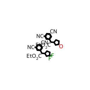 CCOC(=O)C(c1cc(C#N)cc(C#N)c1)C1CCC(=O)C1.CCOC(=O)C(c1cc(C#N)cc(C#N)c1)C1CCC(F)(F)C1